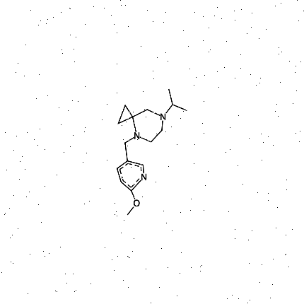 COc1ccc(CN2CCN(C(C)C)CC23CC3)cn1